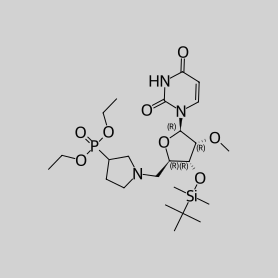 CCOP(=O)(OCC)C1CCN(C[C@H]2O[C@@H](n3ccc(=O)[nH]c3=O)[C@H](OC)[C@@H]2O[Si](C)(C)C(C)(C)C)C1